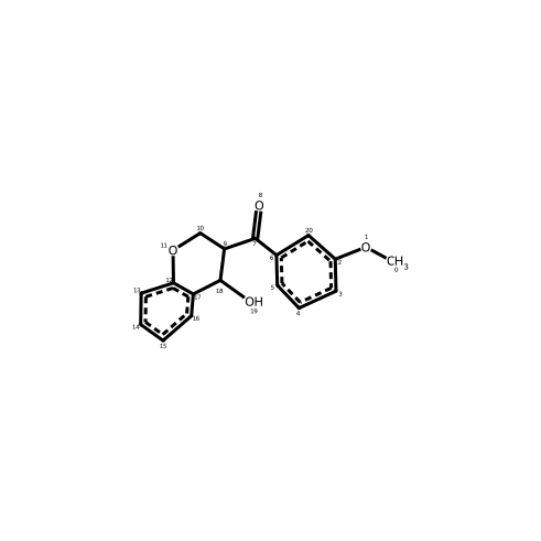 COc1cccc(C(=O)C2COc3ccccc3C2O)c1